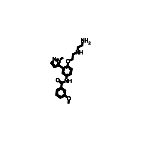 COc1cccc(C(=O)Nc2ccc(OCCNCCN)c(-c3ccnn3C)c2)c1